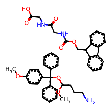 COc1ccc(C(OC(CCCN)OC)(c2ccccc2)c2ccccc2)cc1.O=C(O)CNC(=O)CNC(=O)OCC1c2ccccc2-c2ccccc21